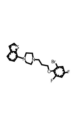 Fc1cc(F)c(OCCCN2CCN(c3cccc4ccsc34)CC2)c(Br)c1